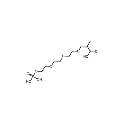 CC(=COCCOCCOCCOP(=O)(O)O)C(=O)O